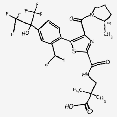 C[C@H]1CCCN1C(=O)c1nc(C(=O)NCC(C)(C)C(=O)O)sc1-c1ccc(C(O)(C(F)(F)F)C(F)(F)F)cc1C(F)I